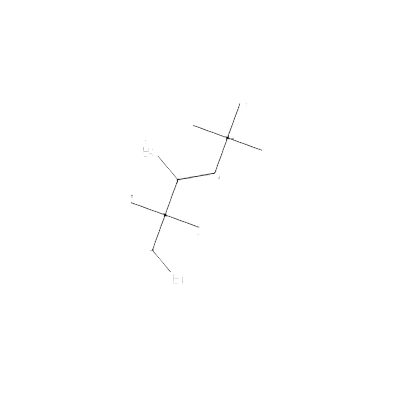 CC(C)(C)C[C](Br)C(C)(C)CBr